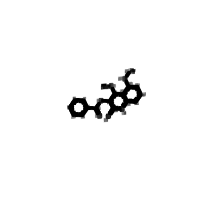 COc1c(OC(=O)c2ccccc2)c(=O)oc2cccc(OC(C)C)c12